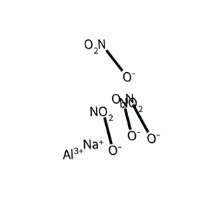 O=[N+]([O-])[O-].O=[N+]([O-])[O-].O=[N+]([O-])[O-].O=[N+]([O-])[O-].[Al+3].[Na+]